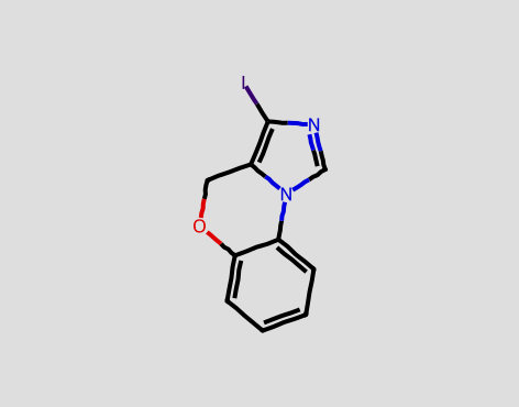 Ic1ncn2c1COc1ccccc1-2